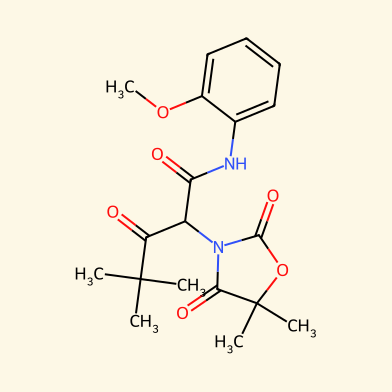 COc1ccccc1NC(=O)C(C(=O)C(C)(C)C)N1C(=O)OC(C)(C)C1=O